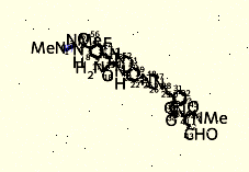 CN/C=C(\NC)NC(=O)c1ccc(-c2nn3c(c2C(N)=O)Nc2ccc(N4CCN(CCc5cccc6c5oc(=O)n6C(CCC=O)C(=O)NC)CC4)cc2CC3)c(F)c1C